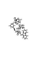 CCCC[Si](OC[C@@H]1ON(Cc2cccc(C#CCNC(=O)OCC3c4ccccc4-c4ccccc43)c2)[C@@H]2C(=O)O[C@@H](C)[C@H]12)(C(C)C)C(C)C